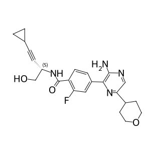 Nc1ncc(C2CCOCC2)nc1-c1ccc(C(=O)N[C@@H](C#CC2CC2)CO)c(F)c1